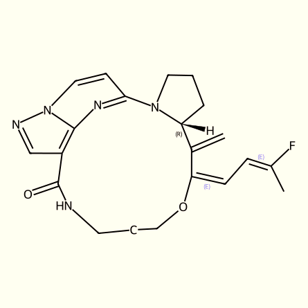 C=C1/C(=C\C=C(/C)F)OCCCNC(=O)c2cnn3ccc(nc23)N2CCC[C@H]12